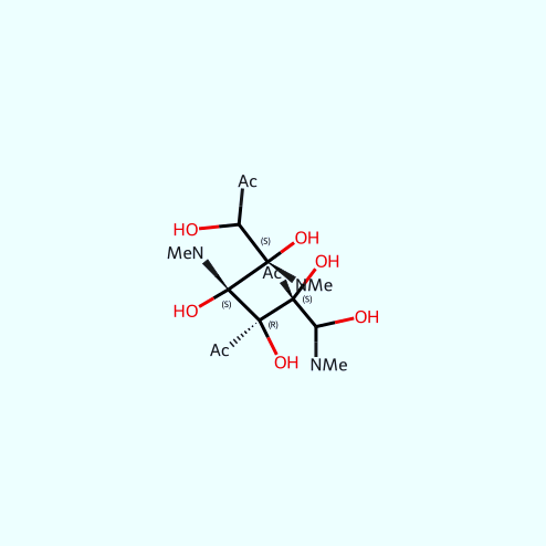 CNC(O)[C@](O)(C(C)=O)[C@](O)(C(C)=O)[C@@](O)(NC)[C@](O)(NC)C(O)C(C)=O